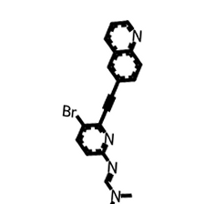 CN(C)/C=N/c1ccc(Br)c(C#Cc2ccc3ncccc3c2)n1